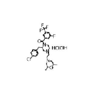 CC1CN(CCN2CCN(C(=O)c3cc(F)cc(C(F)(F)F)c3)[C@H](Cc3ccc(Cl)cc3)C2)CC(C)O1.Cl.Cl